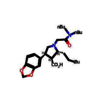 CCCCN(CCCC)C(=O)CN1C[C@H](c2ccc3c(c2)OCO3)[C@H](C(=O)O)[C@H]1CCC(C)CC